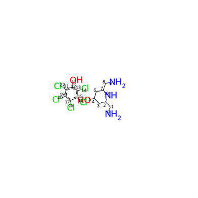 NCC1CC(O)CC(CN)N1.Oc1c(Cl)c(Cl)c(Cl)c(Cl)c1Cl